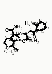 CN1CCc2c(sc(N[C@@H](CC(=O)c3ccccc3N)C(N)=O)c2C(N)=O)C1Br